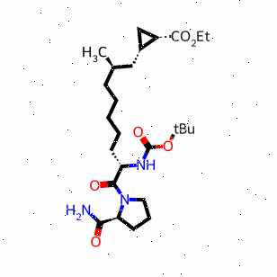 CCOC(=O)[C@H]1C[C@H]1C[C@H](C)CCCCC[C@H](NC(=O)OC(C)(C)C)C(=O)N1CCC[C@H]1C(N)=O